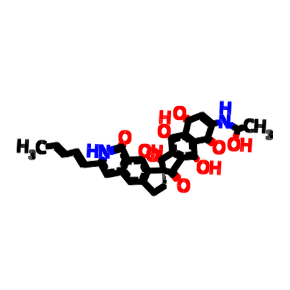 C/C=C/C=C/c1cc2cc3c(c(O)c2c(=O)[nH]1)[C@@]1(CC3)C(=O)c2c(O)c3c(c(O)c2C1=O)C(=O)C(NC(C)O)=CC3=O